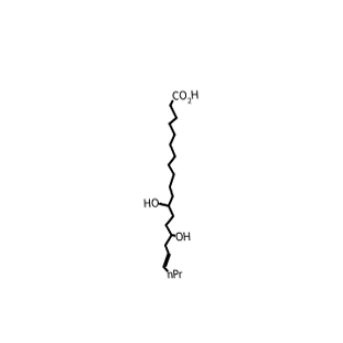 CCCC=CCC(O)CCC(O)CCCCCCCCCCC(=O)O